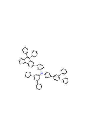 c1ccc(-c2cc(-c3ccccc3)cc(N(c3ccc(-c4ccc(-c5ccccc5)c(-c5ccccc5)c4)cc3)c3cccc(-c4ccc5c(c4)c(-c4ccccc4)c(-c4ccccc4)c4ccccc45)c3)c2)cc1